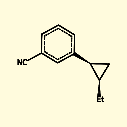 CC[C@H]1C[C@@H]1c1cccc(C#N)c1